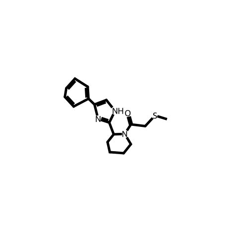 CSCC(=O)N1CCCCC1c1nc(-c2ccccc2)c[nH]1